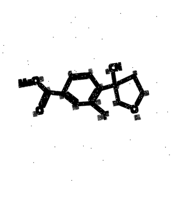 COC(=O)c1ccc(C2(C#N)CCOC2)c(F)c1